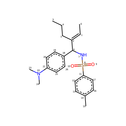 CC=C(CCC)C(NS(=O)(=O)c1ccc(C)cc1)c1ccc(N(C)C)cc1